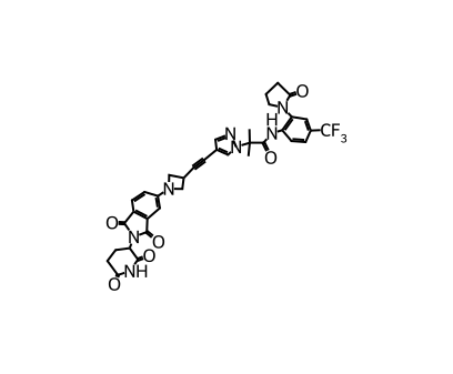 CC(C)(C(=O)Nc1ccc(C(F)(F)F)cc1N1CCCC1=O)n1cc(C#CC2CN(c3ccc4c(c3)C(=O)N(C3CCC(=O)NC3=O)C4=O)C2)cn1